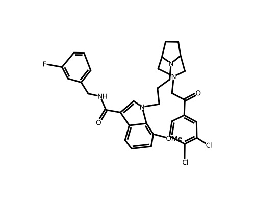 COc1cccc2c(C(=O)NCc3cccc(F)c3)cn(CCCN3C4CCC3CN(CC(=O)c3ccc(Cl)c(Cl)c3)C4)c12